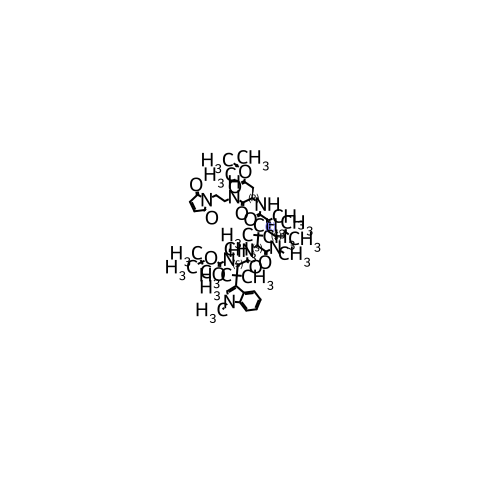 C/C(=C\[C@H](C(C)C)N(C)C(=O)[C@@H](NC(=O)[C@@H](N(C)C(=O)OC(C)(C)C)C(C)(C)c1cn(C)c2ccccc12)C(C)(C)C)C(=O)N[C@H](CC(=O)OC(C)(C)C)C(=O)NCCN1C(=O)C=CC1=O